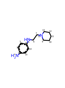 Nc1ccc(NCCN2CCCCC2)cc1